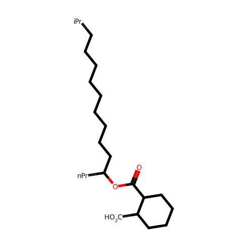 CCCC(CCCCCCCCCC(C)C)OC(=O)C1CCCCC1C(=O)O